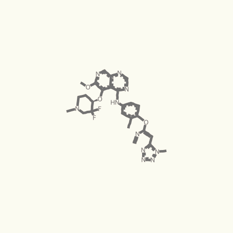 C=N/C(=C\c1nnnn1C)Oc1ccc(Nc2ncnc3cnc(OC)c(O[C@@H]4CCN(C)CC4(F)F)c23)cc1C